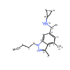 COCCCn1nc(C)c2c(C(F)(F)F)cc(C(C)NC3CC3)cc21